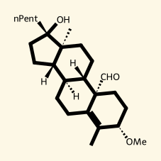 CCCCC[C@]1(O)CC[C@H]2[C@@H]3CCC4=C(C)[C@@H](OC)CC[C@]4(C=O)[C@H]3CC[C@@]21C